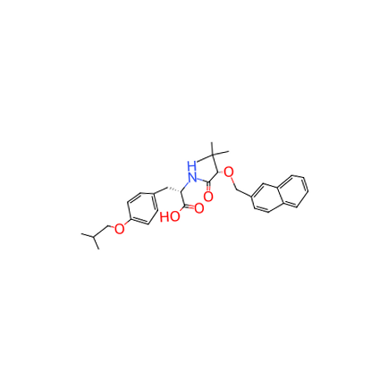 CC(C)COc1ccc(C[C@H](NC(=O)[C@@H](OCc2ccc3ccccc3c2)C(C)(C)C)C(=O)O)cc1